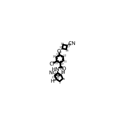 N#CN1[C@H]2CC[C@@H]1[C@H](NC(=O)c1ccc(O[C@H]3C[C@@H](C#N)C3)cc1Cl)C2